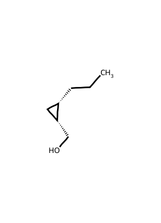 CCC[C@H]1C[C@H]1CO